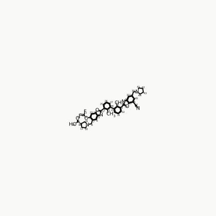 Cc1c(-c2nc3cc(CN4CC[C@@H](C(=O)O)C4)c(OC(F)F)cc3o2)cccc1-c1cccc(-c2nc3cc(CN4CCCC4)cc(C#N)c3o2)c1C